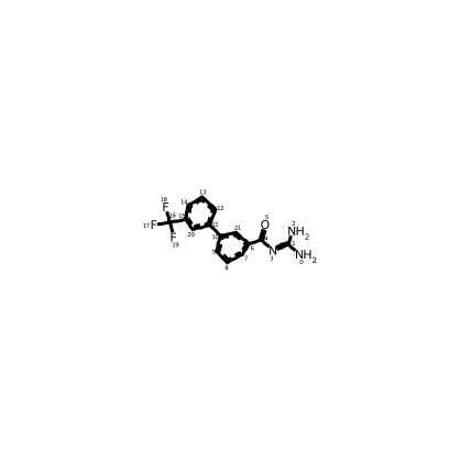 NC(N)=NC(=O)c1cccc(-c2cccc(C(F)(F)F)c2)c1